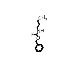 CCCCNC(F)OCc1ccccc1